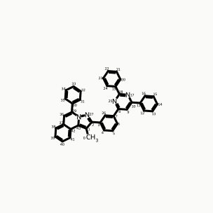 Cc1c(-c2cccc(-c3cc(-c4ccccc4)nc(-c4ccccc4)n3)c2)nn2c(-c3ccccc3)cc3ccccc3c12